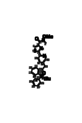 CON(C)C(=O)c1csc(-c2ccc(CCO[Si](c3ccccc3)(c3ccccc3)C(C)(C)C)cn2)n1